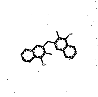 Cc1c(Cc2cc3ccccc3c(O)c2C)cc2ccccc2c1O